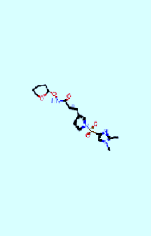 Cc1nc(S(=O)(=O)n2ccc(/C=C/C(=O)NOC3CCCCO3)c2)cn1C